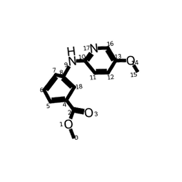 COC(=O)c1cccc(Nc2ccc(OC)cn2)c1